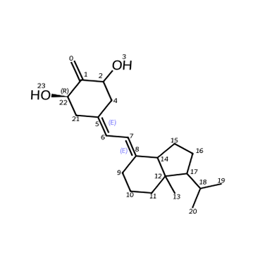 C=C1C(O)C/C(=C\C=C2/CCCC3(C)C2CCC3C(C)C)C[C@H]1O